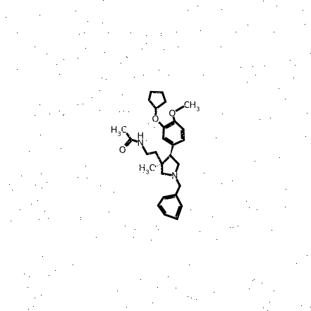 COc1ccc([C@H]2CN(Cc3ccccc3)C[C@@]2(C)CCNC(C)=O)cc1OC1CCCC1